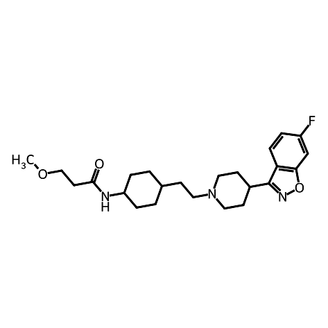 COCCC(=O)NC1CCC(CCN2CCC(c3noc4cc(F)ccc34)CC2)CC1